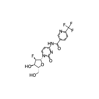 O=C(Nc1ccn([C@@H]2O[C@H](CO)[C@@H](O)[C@H]2F)c(=O)n1)c1ccc(C(F)(F)F)nc1